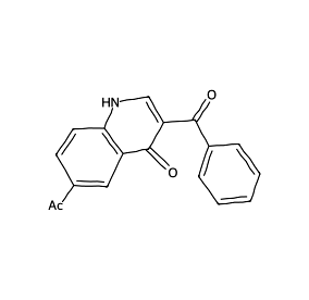 CC(=O)c1ccc2[nH]cc(C(=O)c3ccccc3)c(=O)c2c1